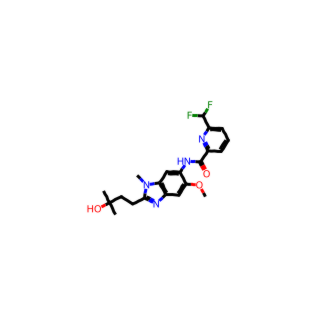 COc1cc2nc(CCC(C)(C)O)n(C)c2cc1NC(=O)c1cccc(C(F)F)n1